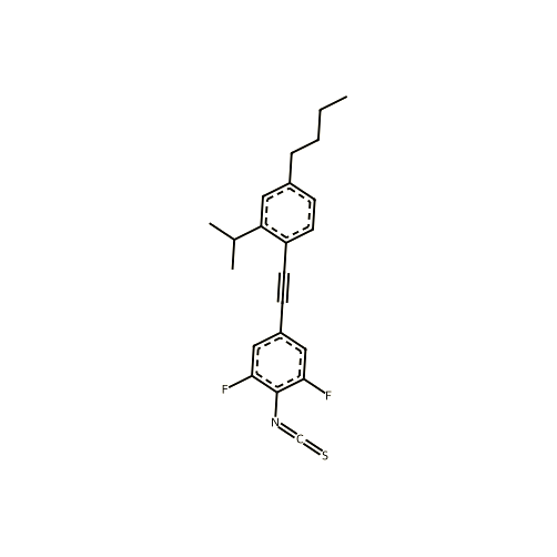 CCCCc1ccc(C#Cc2cc(F)c(N=C=S)c(F)c2)c(C(C)C)c1